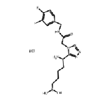 Cl.NC(CCCCB(O)O)c1nnnn1CC(=O)NCc1ccc(F)c(F)c1